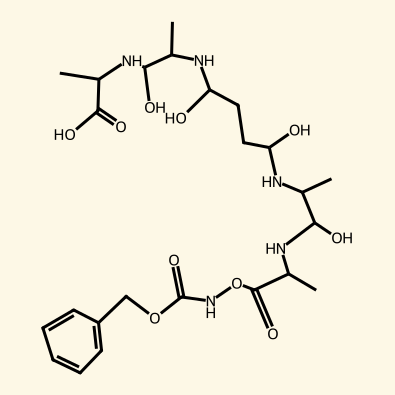 CC(NC(O)C(C)NC(O)CCC(O)NC(C)C(O)NC(C)C(=O)ONC(=O)OCc1ccccc1)C(=O)O